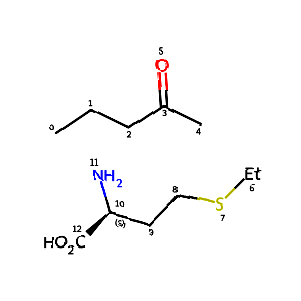 CCCC(C)=O.CCSCC[C@H](N)C(=O)O